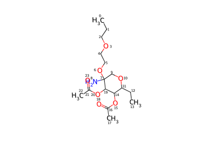 CCCOCCOC1(N)COC(CC)C(OC(C)=O)C1OC(C)=O